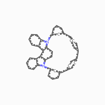 c1ccc2c(c1)c1c3c4ccccc4n4c5cccc(c5)c5ccc(cc5)c5ccc(cc5)c5cccc(c5)n2c1ccc34